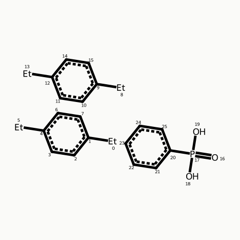 CCc1ccc(CC)cc1.CCc1ccc(CC)cc1.O=P(O)(O)c1ccccc1